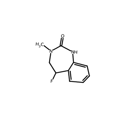 CN1CC(F)c2ccccc2NC1=O